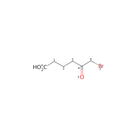 O=C(O)CCCC(=O)CBr